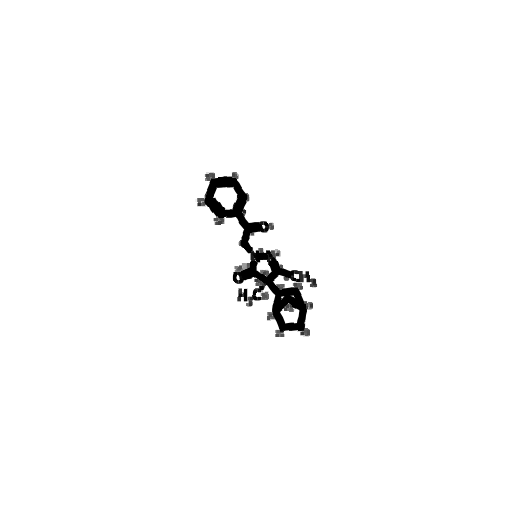 CC1=NN(CC(=O)c2ccccc2)C(=O)[C@]1(C)C1CC2CCC1C2